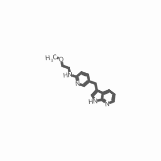 COCCNc1ccc(Cc2c[nH]c3ncccc23)cn1